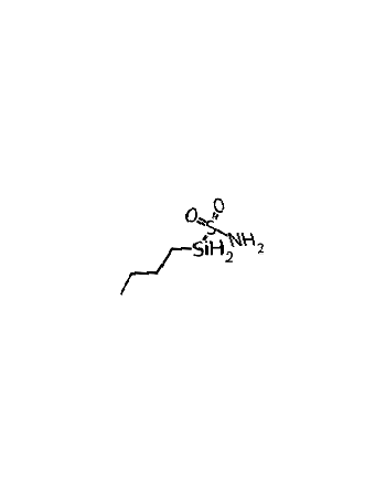 CCCC[SiH2]S(N)(=O)=O